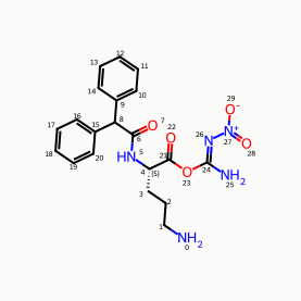 NCCC[C@H](NC(=O)C(c1ccccc1)c1ccccc1)C(=O)OC(N)=N[N+](=O)[O-]